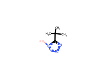 Bn1nnnc1C(C)(C)C